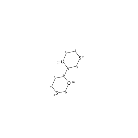 C1CSCC(C2CCSCO2)O1